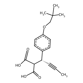 CC#C[C@@H](c1ccc(OCC(C)(C)C)cc1)C(C(=O)O)C(=O)O